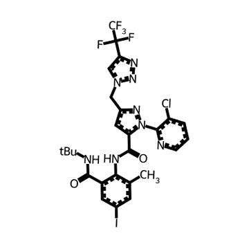 Cc1cc(I)cc(C(=O)NC(C)(C)C)c1NC(=O)c1cc(Cn2cc(C(F)(F)C(F)(F)F)nn2)nn1-c1ncccc1Cl